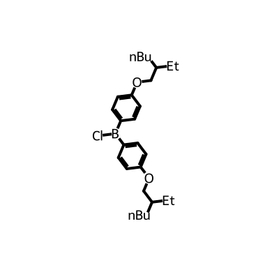 CCCCC(CC)COc1ccc(B(Cl)c2ccc(OCC(CC)CCCC)cc2)cc1